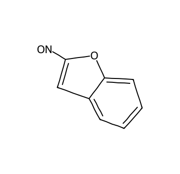 O=Nc1cc2ccccc2o1